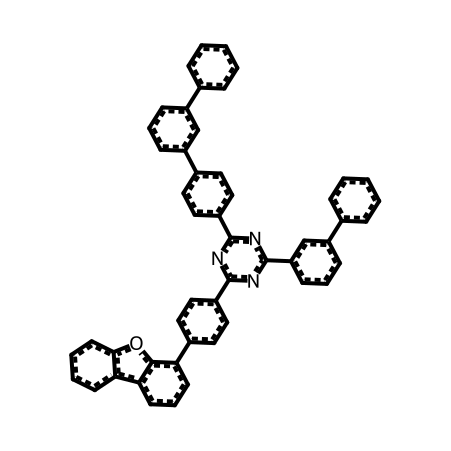 c1ccc(-c2cccc(-c3ccc(-c4nc(-c5ccc(-c6cccc7c6oc6ccccc67)cc5)nc(-c5cccc(-c6ccccc6)c5)n4)cc3)c2)cc1